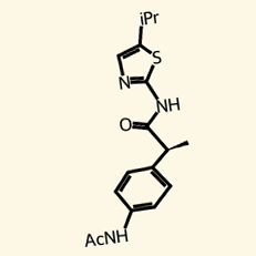 CC(=O)Nc1ccc([C@H](C)C(=O)Nc2ncc(C(C)C)s2)cc1